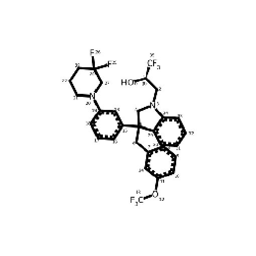 O[C@H](CN1CC(Cc2cccc(OC(F)(F)F)c2)(c2cccc(N3CCCC(F)(F)C3)c2)c2ccccc21)C(F)(F)F